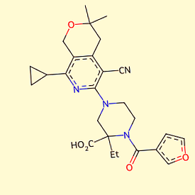 CCC1(C(=O)O)CN(c2nc(C3CC3)c3c(c2C#N)CC(C)(C)OC3)CCN1C(=O)c1ccoc1